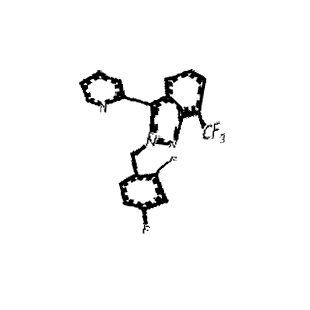 Fc1ccc(Cn2nc3c(C(F)(F)F)cccc3c2-c2ccccn2)c(F)c1